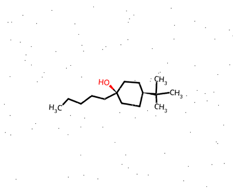 CCCCC[C@]1(O)CC[C@@H](C(C)(C)C)CC1